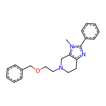 Cn1c(-c2ccccc2)nc2c1CN(CCOCc1ccccc1)CC2